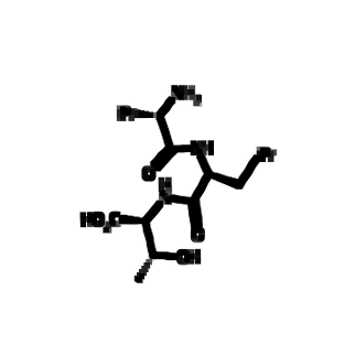 CC(C)C[C@H](NC(=O)[C@@H](N)C(C)C)C(=O)N[C@H](C(=O)O)[C@@H](C)O